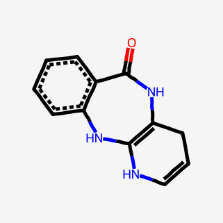 O=C1NC2=C(NC=CC2)Nc2ccccc21